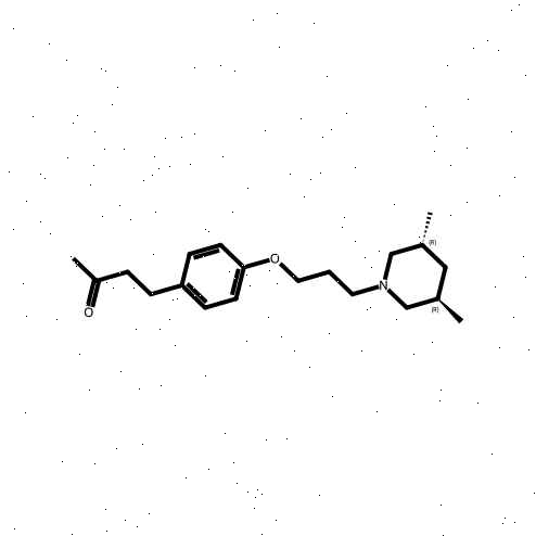 CC(=O)CCc1ccc(OCCCN2C[C@H](C)C[C@@H](C)C2)cc1